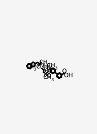 COc1ccc(-c2cccc(C(=O)O)c2)cc1S(=O)(=O)N(C)CC(O)CNC(C)(C)CC1Cc2ccccc2C1